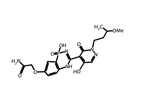 COC(C)CCn1ncc(O)c(C2=NP(=O)(O)c3cc(OCC(N)=O)ccc3N2)c1=O